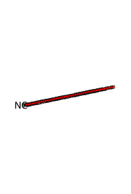 C#CC#CC#CC#CC#CC#CC#CC#CC#CC#CC#CC#CC#CC#CC#CC#CC#CC#CC#CC#CC#CC#CC#CC#CC#CC#CC#CC#CC#CC#CC#CC#CC#CC#CC#CC#CC#CC#CC#CC#CC#CC#CC#CC#CC#CC#CC#CC#N